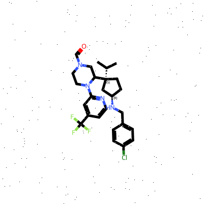 CC(C)[C@]1(C2CN(C=O)CCN2c2cc(C(F)(F)F)ccn2)CC[C@@H](NCc2ccc(Cl)cc2)C1